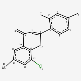 C=C1C=C(c2ccc(C)cc2C)Cc2c(Cl)cc(CC)cc21